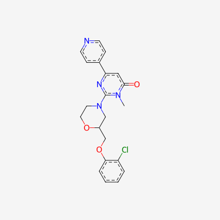 Cn1c(N2CCOC(COc3ccccc3Cl)C2)nc(-c2ccncc2)cc1=O